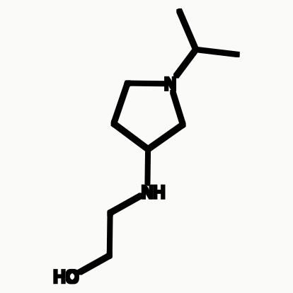 CC(C)N1CCC(NCCO)C1